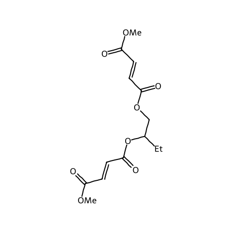 CCC(COC(=O)/C=C/C(=O)OC)OC(=O)/C=C/C(=O)OC